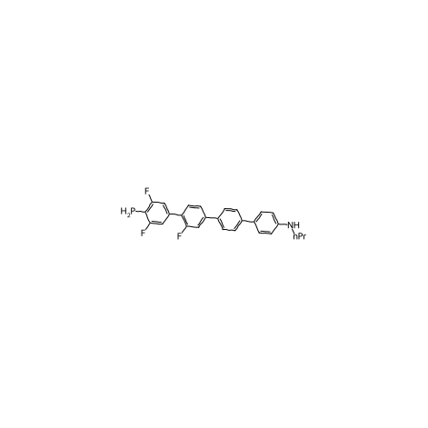 CCCNc1ccc(-c2ccc(-c3ccc(-c4cc(F)c(P)c(F)c4)c(F)c3)cc2)cc1